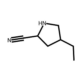 CCC1CNC(C#N)C1